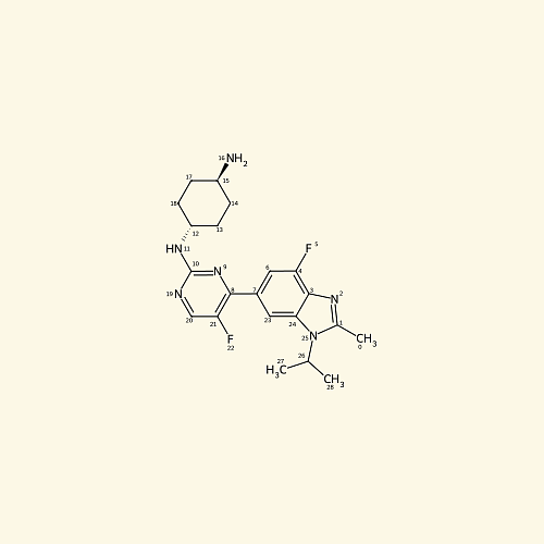 Cc1nc2c(F)cc(-c3nc(N[C@H]4CC[C@H](N)CC4)ncc3F)cc2n1C(C)C